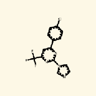 FC(F)(F)c1cc(-c2ccc(Cl)cc2)nc(-n2ccnc2)n1